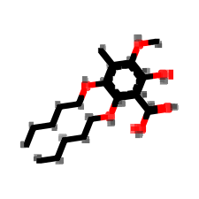 CCCCCOc1c(C)c(OC)c(O)c(C(=O)O)c1OCCCCC